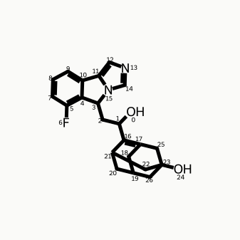 OC(CC1c2c(F)cccc2-c2cncn21)C1=C2CC3CC1CC(O)(C2)C3